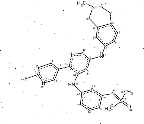 CN1CCc2ccc(Nc3ncc(-c4ccc(F)nc4)c(Nc4cccc(N=S(C)(C)=O)n4)n3)cc2C1